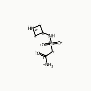 NC(=O)CS(=O)(=O)NC1CNC1